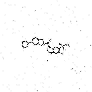 NS(=O)(=O)c1cc2c(cc1F)CCN2C(=O)[C@@H]1Cc2ccc(-c3ccccn3)cc2C1